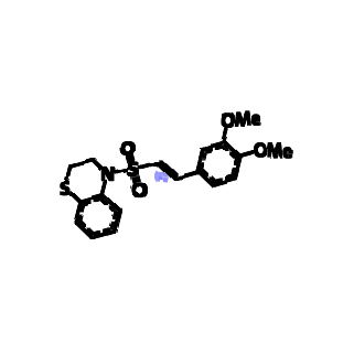 COc1ccc(/C=C/S(=O)(=O)N2CCSc3ccccc32)cc1OC